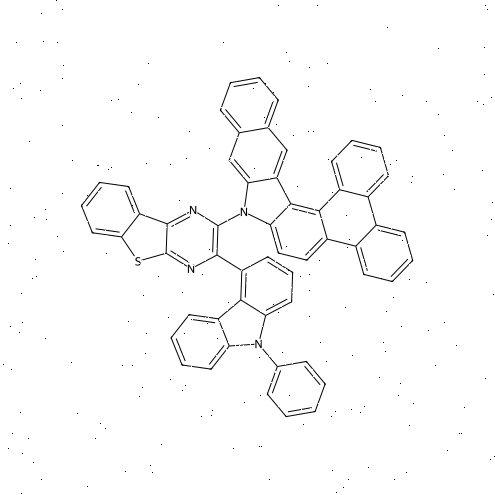 c1ccc(-n2c3ccccc3c3c(-c4nc5sc6ccccc6c5nc4-n4c5cc6ccccc6cc5c5c6c7ccccc7c7ccccc7c6ccc54)cccc32)cc1